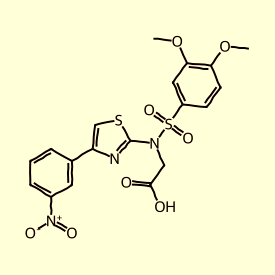 COc1ccc(S(=O)(=O)N(CC(=O)O)c2nc(-c3cccc([N+](=O)[O-])c3)cs2)cc1OC